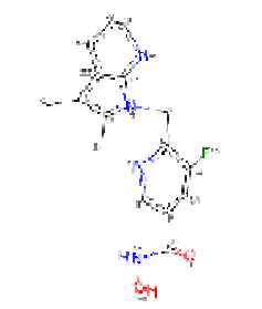 Cc1c(C)n(Cc2ncc(C(=O)NO)cc2F)c2ncccc12